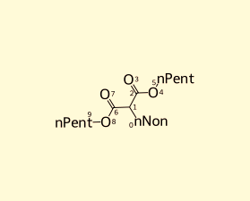 CCCCCCCCCC(C(=O)OCCCCC)C(=O)OCCCCC